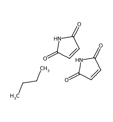 CCCC.O=C1C=CC(=O)N1.O=C1C=CC(=O)N1